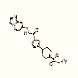 CC(C)CS(=O)(=O)N1CCC(c2ccc(C(=O)NCc3ccn4ccnc4c3)s2)CC1